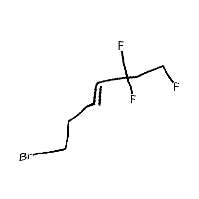 FCC(F)(F)C=CCCBr